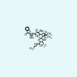 C=CCNC(=O)C(=O)C(CC(F)(F)F)NC(=O)[C@@H]1[C@@H]2[C@H](CN1C(=O)[C@@H](NC(=O)N[C@H](CN1Cc3ccccc3C1=O)C(C)(C)C)C(C)(C)C)C2(C)C